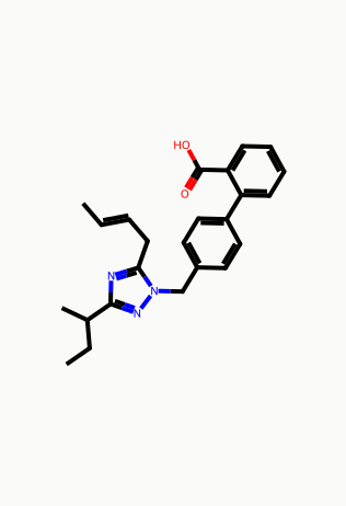 C/C=C/Cc1nc(C(C)CC)nn1Cc1ccc(-c2ccccc2C(=O)O)cc1